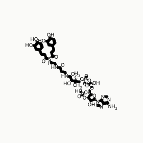 CC(C)(COP(=O)(O)OP(=O)(O)OC[C@H]1O[C@@H](n2cnc3c(N)ncnc32)[C@H](O)[C@@H]1OP(=O)(O)O)C(O)C(=O)NCCC(=O)NCC[SH](C(=O)C=Cc1ccc(O)c(O)c1)C(=O)C=Cc1ccc(O)c(O)c1